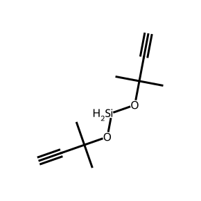 C#CC(C)(C)O[SiH2]OC(C)(C)C#C